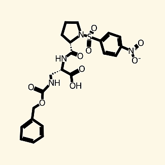 O=C(NC[C@H](NC(=O)[C@@H]1CCCN1S(=O)(=O)c1ccc([N+](=O)[O-])cc1)C(=O)O)OCc1ccccc1